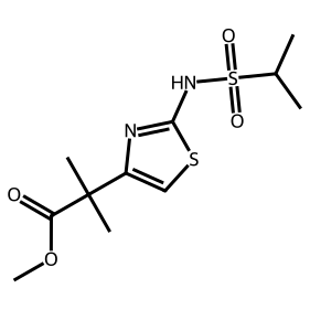 COC(=O)C(C)(C)c1csc(NS(=O)(=O)C(C)C)n1